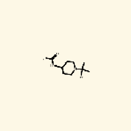 CCC(C)(C)N1CCC(NC(=O)C(F)(F)F)CC1